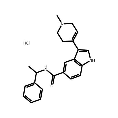 CC(NC(=O)c1ccc2[nH]cc(C3=CCN(C)CC3)c2c1)c1ccccc1.Cl